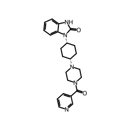 O=C(c1cccnc1)N1CCN([C@H]2CC[C@@H](n3c(=O)[nH]c4ccccc43)CC2)CC1